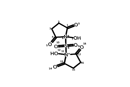 O=C1CCC(=O)[N+]1(O)S(=O)(=O)[N+]1(O)C(=O)CCC1=O